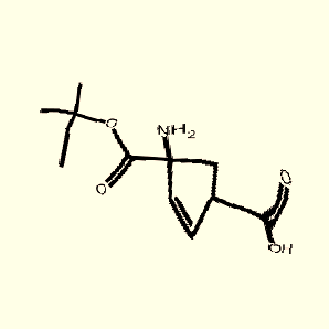 CC(C)(C)OC(=O)C1(N)C=CC(C(=O)O)C1